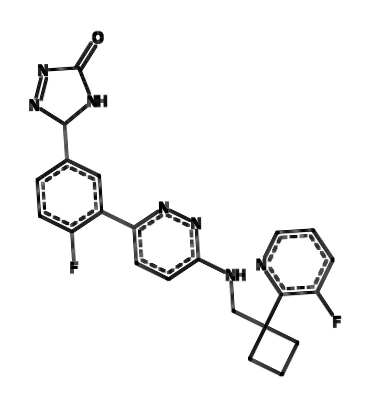 O=C1N=NC(c2ccc(F)c(-c3ccc(NCC4(c5ncccc5F)CCC4)nn3)c2)N1